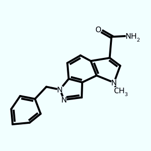 Cn1cc(C(N)=O)c2ccc3c(cnn3Cc3ccccc3)c21